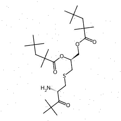 CC(C)(C)CC(C)(C)C(=O)OC[C@@H](CSC[C@@H](N)C(=O)C(C)(C)C)OC(=O)C(C)(C)CC(C)(C)C